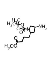 COC(=O)CCC[C@@H]1C[C@H](N)CN1C(=O)OC(C)(C)C